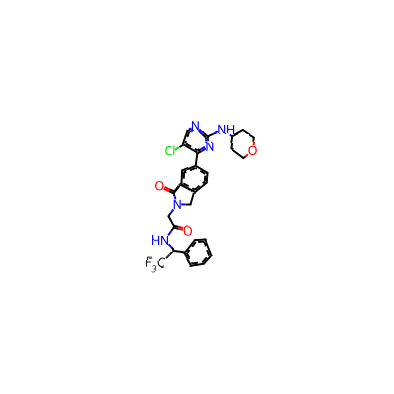 O=C(CN1Cc2ccc(-c3nc(NC4CCOCC4)ncc3Cl)cc2C1=O)NC(c1ccccc1)C(F)(F)F